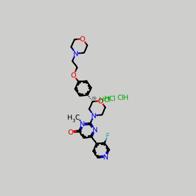 Cl.Cl.Cl.Cn1c(N2CCO[C@@H](c3ccc(OCCN4CCOCC4)cc3)C2)nc(-c2ccncc2F)cc1=O